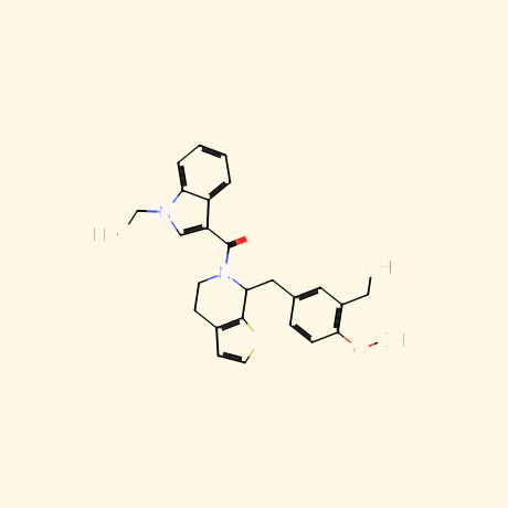 CCc1cc(CC2c3sccc3CCN2C(=O)c2cn(CC)c3ccccc23)ccc1OC